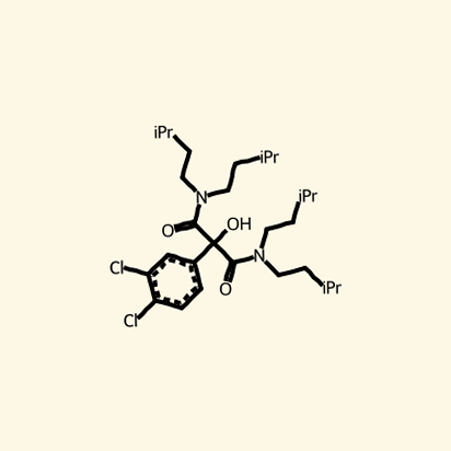 CC(C)CCN(CCC(C)C)C(=O)C(O)(C(=O)N(CCC(C)C)CCC(C)C)c1ccc(Cl)c(Cl)c1